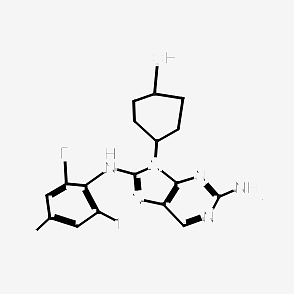 Nc1ncc2nc(Nc3c(F)cc(F)cc3F)n(C3CCC(O)CC3)c2n1